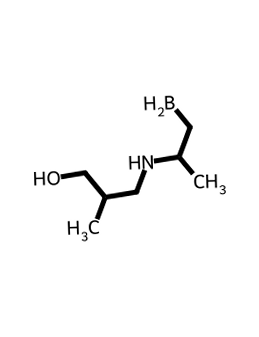 BCC(C)NCC(C)CO